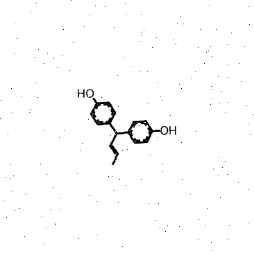 C/C=C/C(c1ccc(O)cc1)c1ccc(O)cc1